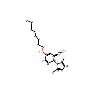 CCCCCCCCOC1=CC(=C=O)C(n2c(C)ccc2C)C=C1